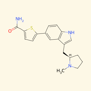 CN1CCC[C@@H]1Cc1c[nH]c2ccc(-c3ccc(C(N)=O)s3)cc12